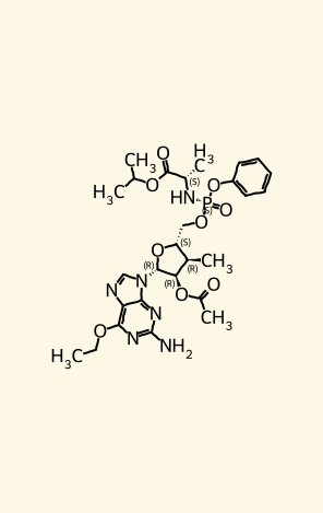 CCOc1nc(N)nc2c1ncn2[C@@H]1O[C@H](CO[P@@](=O)(N[C@@H](C)C(=O)OC(C)C)Oc2ccccc2)[C@@H](C)[C@H]1OC(C)=O